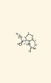 C[C@]1(C(N)=O)CCCC2CCNC(=S)NC21